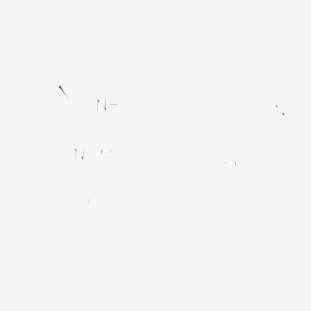 COc1cccc([C@@H](C)NC(=O)c2ccc3c(c2)COc2cnccc2-3)n1